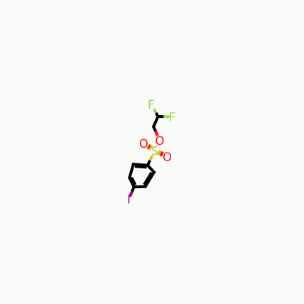 O=S(=O)(OCC(F)F)c1ccc(I)cc1